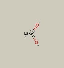 O=[Se]=O.[La]